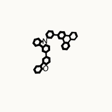 C1=CCC2C(=C1)c1ccc(-c3cccc(-n4c5ccccc5c5cc(-c6ccc7oc8ccccc8c7c6)ccc54)c3)cc1-c1ccccc12